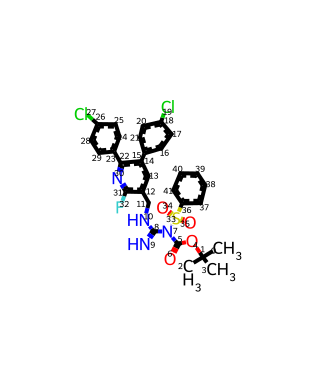 CC(C)(C)OC(=O)N(C(=N)NCc1cc(-c2ccc(Cl)cc2)c(-c2ccc(Cl)cc2)nc1F)S(=O)(=O)c1ccccc1